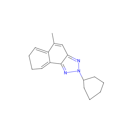 Cc1cc2nn(C3CCCCC3)nc2c2c1=CCCC=2